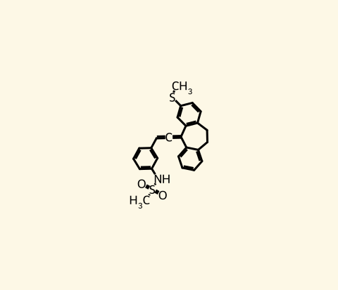 CSc1ccc2c(c1)C(=C=Cc1cccc(NS(C)(=O)=O)c1)c1ccccc1CC2